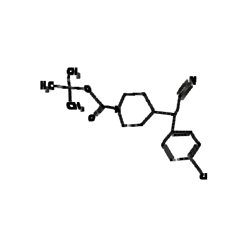 CC(C)(C)OC(=O)N1CCC(C(C#N)c2ccc(Cl)cc2)CC1